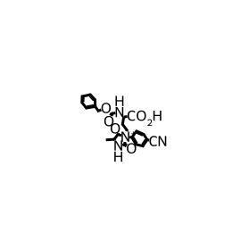 CC1NC(=O)[N+](CCC(NC(=O)OCc2ccccc2)C(=O)O)(c2ccc(C#N)cc2)C1=O